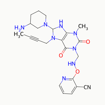 CC#CCN1c2c(n(C)c(=O)n(CNOc3ncccc3C#N)c2=O)NC1N1CCCC(N)C1